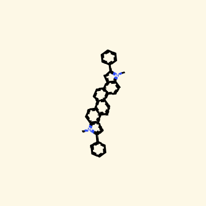 Cn1c(-c2ccccc2)cc2c3ccc4c(ccc5c4ccc4c5cc(-c5ccccc5)n4C)c3ccc21